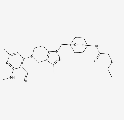 CCN(C)CC(=O)NC12CCC(Cn3nc(C)c4c3CCN(c3cc(C)nc(NC)c3C=N)C4)(CC1)CC2